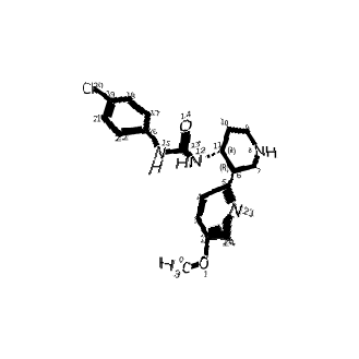 COc1ccc([C@@H]2CNCC[C@H]2NC(=O)Nc2ccc(Cl)cc2)nc1